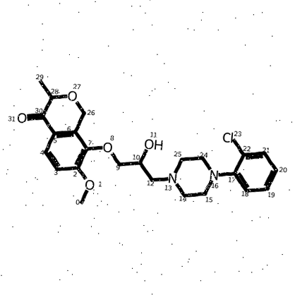 COc1ccc2c(c1OCC(O)CN1CCN(c3ccccc3Cl)CC1)COC(C)C2=O